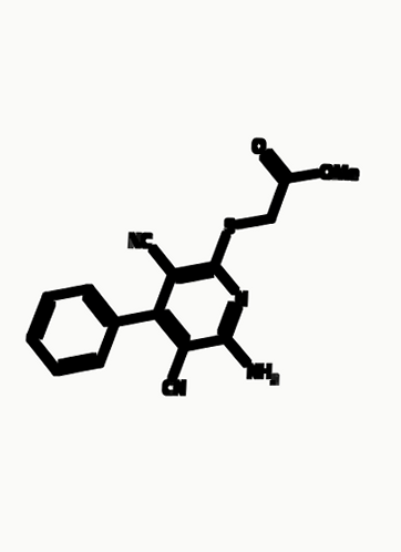 COC(=O)CSc1nc(N)c(C#N)c(-c2ccccc2)c1C#N